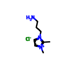 Cc1n(CCCN)cc[n+]1C.[Cl-]